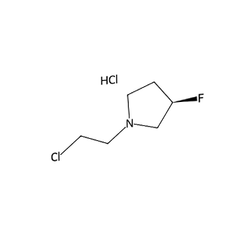 Cl.F[C@@H]1CCN(CCCl)C1